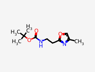 Cc1coc(CCNC(=O)OC(C)(C)C)n1